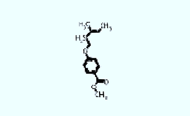 CC=C(C)[SiH2]COc1ccc(C(=O)OC)cc1